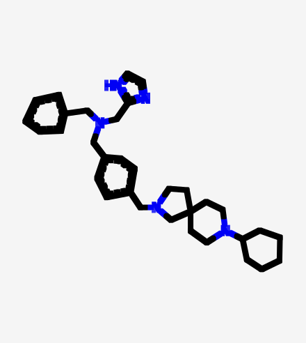 c1ccc(CN(Cc2ccc(CN3CCC4(CCN(C5CCCCC5)CC4)C3)cc2)Cc2ncc[nH]2)cc1